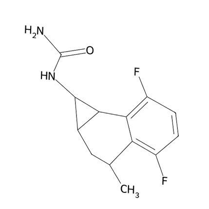 CC1CC2C(NC(N)=O)C2c2c(F)ccc(F)c21